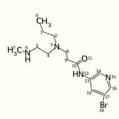 CCCN(CCNC)CCC(=O)Nc1cncc(Br)c1